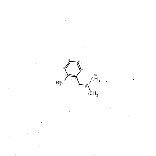 Cc1ccc[c]c1CN(C)C